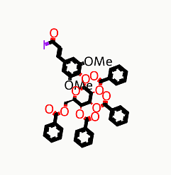 COc1cc(C=CC(=O)I)cc(OC)c1O[C@@H]1O[C@H](COC(=O)c2ccccc2)[C@@H](OC(=O)c2ccccc2)[C@H](OC(=O)c2ccccc2)[C@H]1OC(=O)c1ccccc1